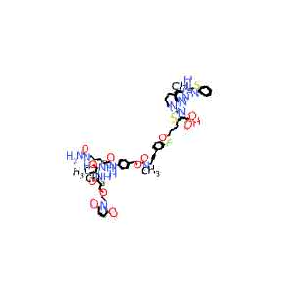 Cc1c(Nc2nc3ccccc3s2)nnc2c1CCCN2c1nc(C(=O)O)c(CCCOc2ccc(C#CCN(C)C(=O)OCc3ccc(NC(=O)[C@H](CCCNC(N)=O)NC(=O)[C@@H](NC(=O)CCOCCN4C(=O)C=CC4=O)C(C)C)cc3)cc2F)s1